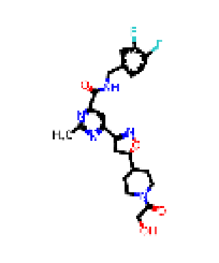 Cc1nc(C(=O)NCc2ccc(F)c(F)c2)cc(C2=NOC(C3CCN(C(=O)CO)CC3)C2)n1